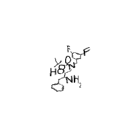 CC(C)(C)OC(=O)N(Cc1cc(F)cc(F)c1)CC(O)C(N)Cc1ccccc1